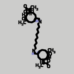 C=C1C(=O)O[C@H]2[C@H]1CCC(/C=N\CCCCCCCCCC/N=C\C1=C\CC[C@@]3(C)O[C@H]3[C@H]3OC(=O)C(=C)[C@@H]3CC1)=C\CC[C@@]1(C)O[C@@H]21